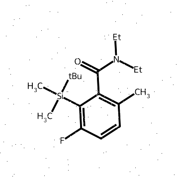 CCN(CC)C(=O)c1c(C)ccc(F)c1[Si](C)(C)C(C)(C)C